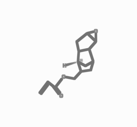 C=CC(=O)OCC1CC2C[C@@H]1C1CC3OC3C21